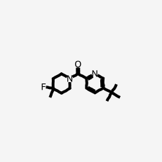 CC1(F)CCN(C(=O)c2ccc(C(C)(C)C)cn2)CC1